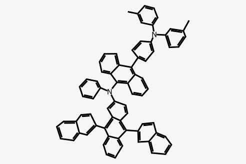 Cc1cccc(N(c2ccc(-c3c4ccccc4c(N(c4ccccc4)c4ccc5c(-c6ccc7ccccc7c6)c6ccccc6c(-c6ccc7ccccc7c6)c5c4)c4ccccc34)cc2)c2cccc(C)c2)c1